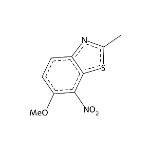 COc1ccc2nc(C)sc2c1[N+](=O)[O-]